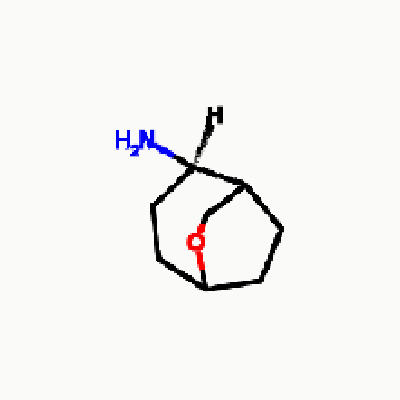 N[C@@H]1CCC2CCC1CO2